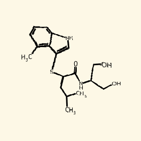 Cc1cccc2[nH]cc(SC(CC(C)C)C(=O)NC(CO)CO)c12